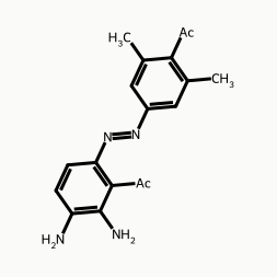 CC(=O)c1c(C)cc(N=Nc2ccc(N)c(N)c2C(C)=O)cc1C